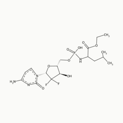 CCOC(=O)C(CC(C)C)NP(=O)(O)OC[C@H]1O[C@@H](n2ccc(N)nc2=O)C(F)(F)[C@@H]1O